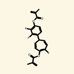 C=C(C)C(=O)OC1=C(F)C=CC(c2ccc(OC(=O)C(=C)C)c(F)c2F)C=C1